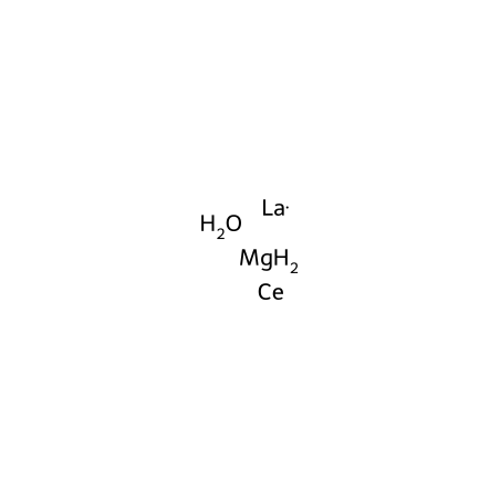 O.[Ce].[La].[MgH2]